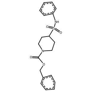 O=C(OCc1ccccc1)N1CCC(S(=O)(=O)Nc2ccccc2)CC1